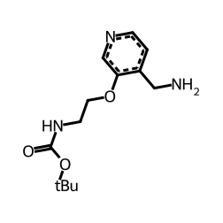 CC(C)(C)OC(=O)NCCOc1cnccc1CN